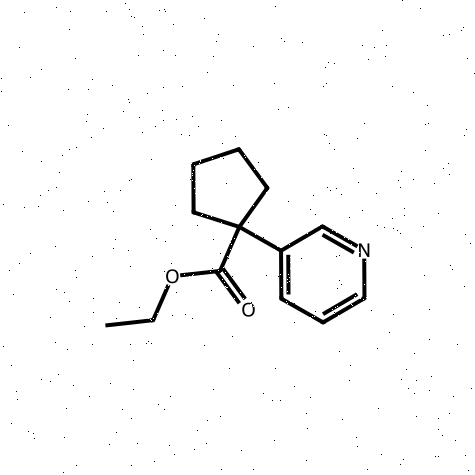 CCOC(=O)C1(c2cccnc2)CCCC1